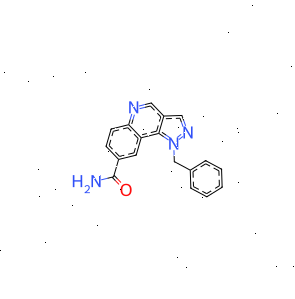 NC(=O)c1ccc2ncc3cnn(Cc4ccccc4)c3c2c1